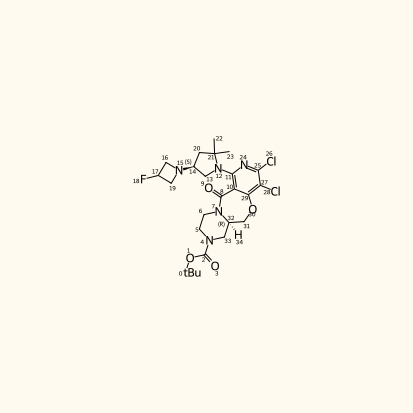 CC(C)(C)OC(=O)N1CCN2C(=O)c3c(N4C[C@@H](N5CC(F)C5)CC4(C)C)nc(Cl)c(Cl)c3OC[C@H]2C1